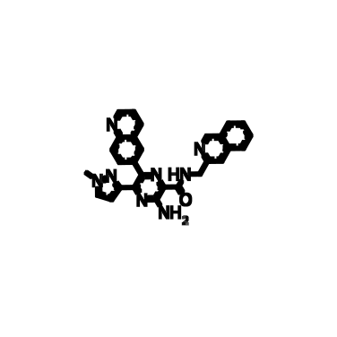 Cn1ccc(-c2nc(N)c(C(=O)NCc3cc4ccccc4cn3)nc2-c2ccc3ncccc3c2)n1